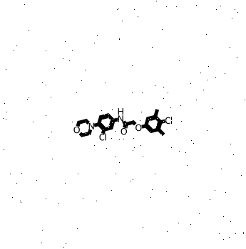 Cc1cc(OCC(=O)Nc2ccc(N3CCOCC3)c(Cl)c2)cc(C)c1Cl